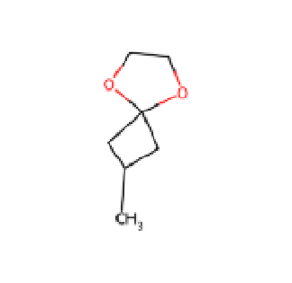 CC1CC2(C1)OCCO2